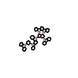 c1cc(-n2c3ccccc3c3ccccc32)cc(-n2c3ccccc3c3ccc4c(c5ccccc5n4-c4cccc(-n5c6ccccc6c6ccc7c8ccccc8n(-c8cccc(-n9c%10ccccc%10c%10ccccc%109)c8)c7c65)c4)c32)c1